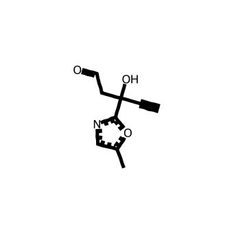 C#CC(O)(CC=O)c1ncc(C)o1